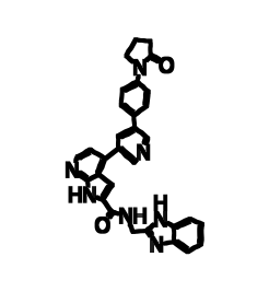 O=C(NCc1nc2ccccc2[nH]1)c1cc2c(-c3cncc(-c4ccc(N5CCCC5=O)cc4)c3)ccnc2[nH]1